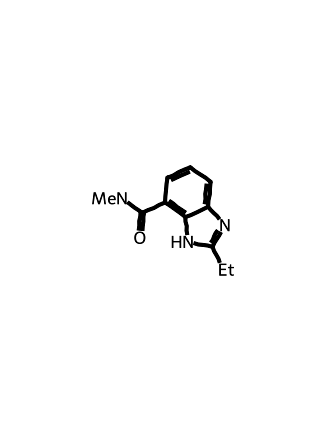 CCc1nc2cccc(C(=O)NC)c2[nH]1